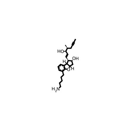 CC#CC[C@H](C)[C@H](O)C=C[C@@H]1[C@H]2c3cccc(CCCCCN)c3O[C@H]2C[C@H]1O